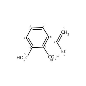 C=CCC.O=C(O)c1ccccc1C(=O)O